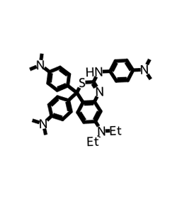 CCN(CC)c1ccc2c(c1)N=C(Nc1ccc(N(C)C)cc1)SC2(c1ccc(N(C)C)cc1)c1ccc(N(C)C)cc1